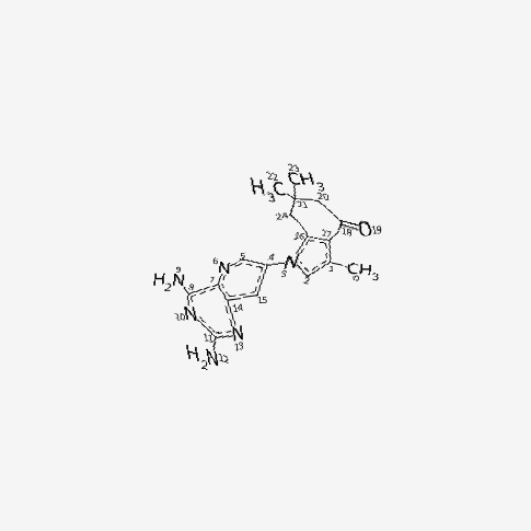 Cc1cn(-c2cnc3c(N)nc(N)nc3c2)c2c1C(=O)CC(C)(C)C2